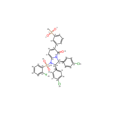 CS(=O)(=O)c1cccc(-c2ccc3n(c2=O)[C@@H](c2ccc(Cl)cc2)[C@@H](c2ccc(Cl)cc2)N3S(=O)(=O)c2ccccc2F)c1